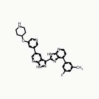 Cc1cc(F)cc(-c2ccnc3[nH]c(-c4n[nH]c5ncc(-c6cncc(OC7CCNCC7)c6)cc45)nc23)c1